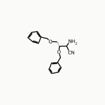 N#CC(N)[C@@H](COCc1ccccc1)OCc1ccccc1